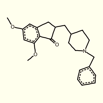 COc1cc2c(c(OC)c1)C(=O)C(CC1CCN(Cc3ccccc3)CC1)C2